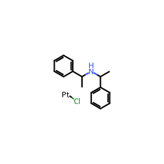 CC(NC(C)c1ccccc1)c1ccccc1.[Cl][Pt]